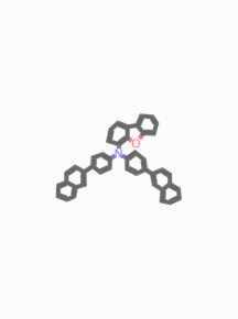 c1ccc2cc(-c3ccc(N(c4ccc(-c5ccc6ccccc6c5)cc4)c4cccc5c4oc4ccccc45)cc3)ccc2c1